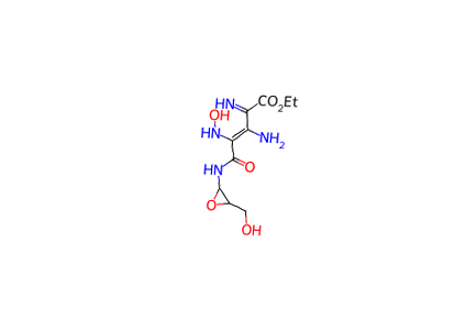 CCOC(=O)C(=N)/C(N)=C(\NO)C(=O)NC1OC1CO